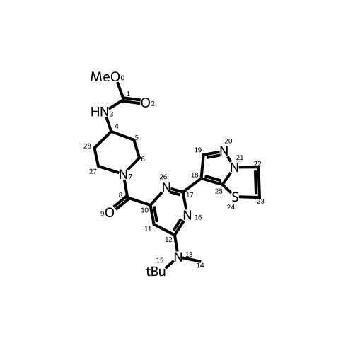 COC(=O)NC1CCN(C(=O)c2cc(N(C)C(C)(C)C)nc(-c3cnn4ccsc34)n2)CC1